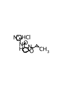 CC1CC1c1nc2c(C(=O)NC3CN4CCC3CC4)cccc2o1.Cl